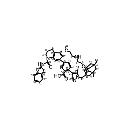 COCCNCCOC12CC3(C)CC(C)(CC(Cn4ncc(-c5ccc(-c6ccc7c(c6)N(C(=O)Nc6nc8ccccc8s6)CCC7)nc5C(=O)O)c4C)(C3)C1)C2